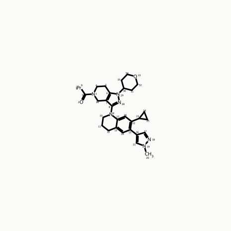 CC(C)C(=O)N1CCc2c(c(N3CCCc4cc(-c5cnn(C)c5)c(C5CC5)cc43)nn2C2CCOCC2)C1